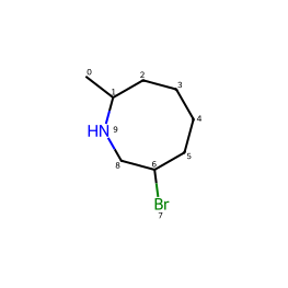 CC1CCCCC(Br)CN1